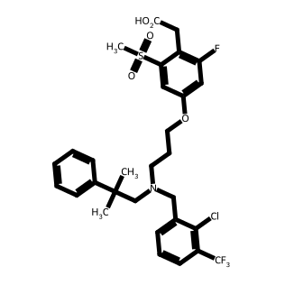 CC(C)(CN(CCCOc1cc(F)c(CC(=O)O)c(S(C)(=O)=O)c1)Cc1cccc(C(F)(F)F)c1Cl)c1ccccc1